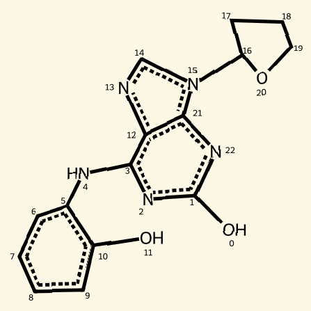 Oc1nc(Nc2ccccc2O)c2ncn(C3CCCO3)c2n1